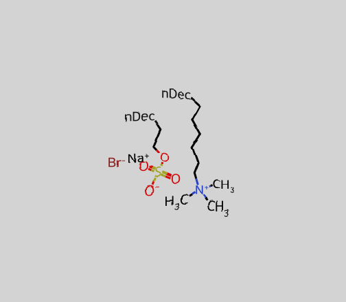 CCCCCCCCCCCCCCCC[N+](C)(C)C.CCCCCCCCCCCCOS(=O)(=O)[O-].[Br-].[Na+]